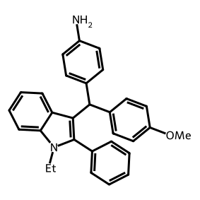 CCn1c(-c2ccccc2)c(C(c2ccc(N)cc2)c2ccc(OC)cc2)c2ccccc21